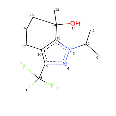 CC(C)n1nc(C(F)(F)F)c2c1C(C)(O)CCC2